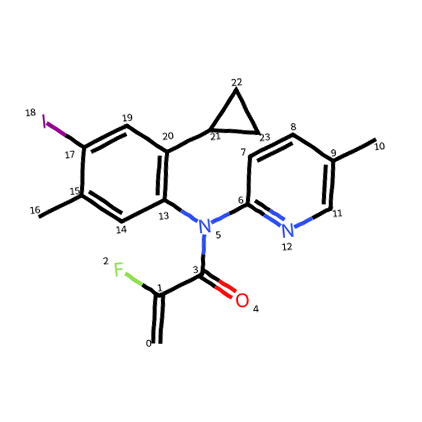 C=C(F)C(=O)N(c1ccc(C)cn1)c1cc(C)c(I)cc1C1CC1